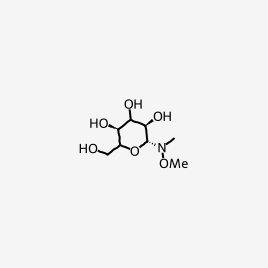 CON(C)[C@@H]1OC(CO)[C@@H](O)C(O)[C@H]1O